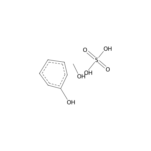 CO.O=S(=O)(O)O.Oc1ccccc1